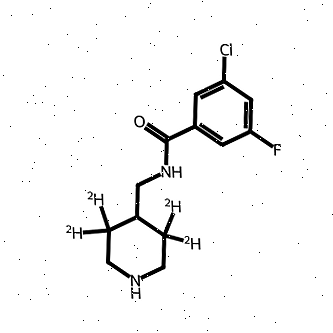 [2H]C1([2H])CNCC([2H])([2H])C1CNC(=O)c1cc(F)cc(Cl)c1